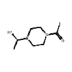 CC(C)[C@H](C)N1CCN(C(=O)I)CC1